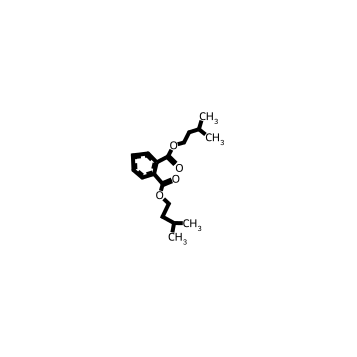 CC(C)CCOC(=O)c1ccccc1C(=O)OCCC(C)C